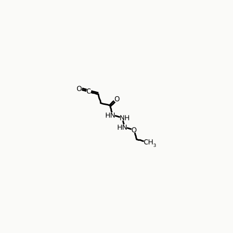 CCONNNC(=O)CC=C=O